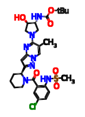 Cc1cn2nc([C@@H]3CCCCN3C(=O)c3cc(Cl)ccc3NS(C)(=O)=O)cc2nc1N1C[C@@H](O)[C@H](NC(=O)OC(C)(C)C)C1